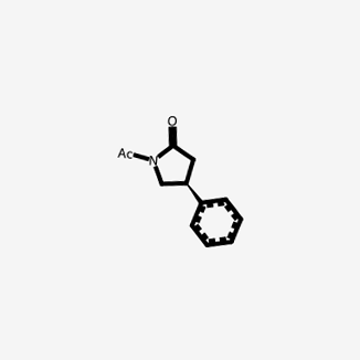 CC(=O)N1C[C@H](c2ccccc2)CC1=O